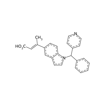 CC(=CC(=O)O)c1ccc2c(ccn2C(c2ccccc2)c2ccncc2)c1